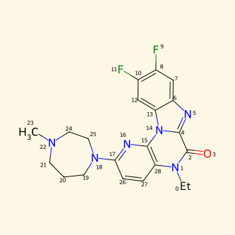 CCn1c(=O)c2nc3cc(F)c(F)cc3n2c2nc(N3CCCN(C)CC3)ccc21